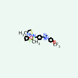 CC1CCS/C(=N\N=C\c2ccc(-c3ncn(-c4ccc(OC(F)(F)F)cc4)n3)cc2)N1c1ccccc1OC(C)(F)F